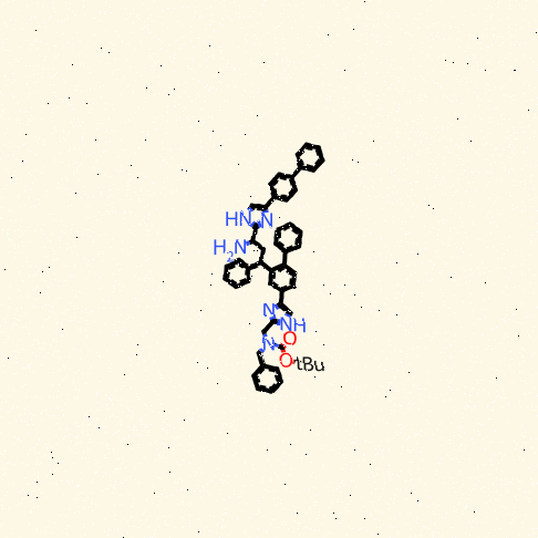 CC(C)(C)OC(=O)N(Cc1ccccc1)Cc1nc(-c2ccc(-c3ccccc3)c(C(CC(N)c3nc(-c4ccc(-c5ccccc5)cc4)c[nH]3)c3ccccc3)c2)c[nH]1